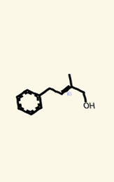 C/C(=C\Cc1ccccc1)CO